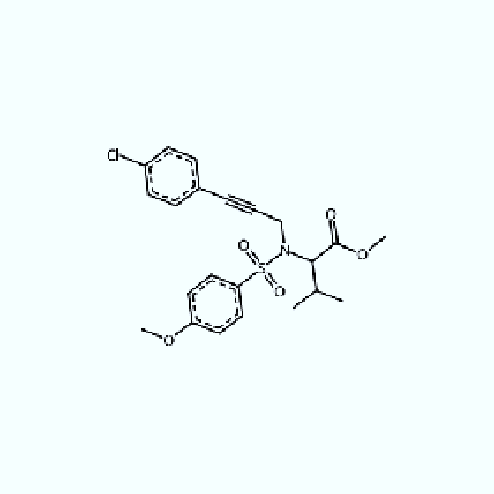 COC(=O)C(C(C)C)N(CC#Cc1ccc(Cl)cc1)S(=O)(=O)c1ccc(OC)cc1